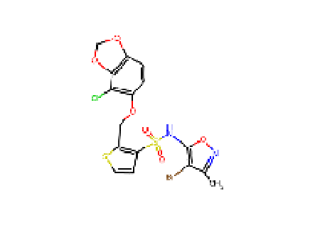 Cc1noc(NS(=O)(=O)c2ccsc2COc2ccc3c(c2Cl)OCO3)c1Br